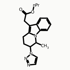 CCCOC(=O)Cc1c2n(c3ccccc13)C(C)C(n1ccnn1)CC2